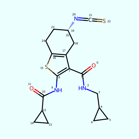 O=C(NCC1CC1)c1c(NC(=O)C2CC2)sc2c1C[C@@H](N=C=S)CC2